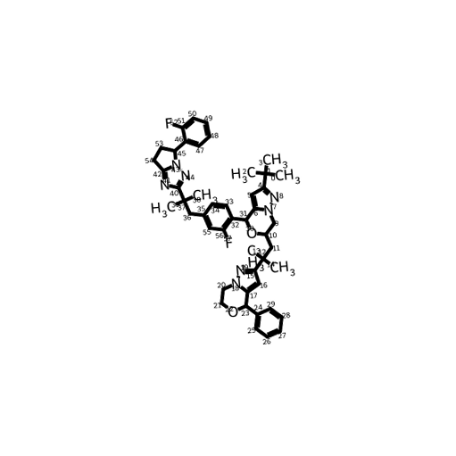 CC(C)(C)c1cc2n(n1)CC(CC(C)(C)c1cc3n(n1)CCOC3c1ccccc1)OC2c1ccc(CC(C)(C)c2nc3n(n2)C(c2ccccc2F)CC3)cc1F